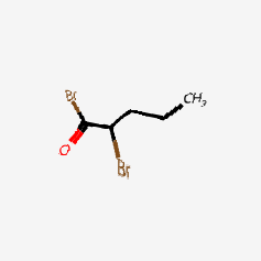 CCCC(Br)C(=O)Br